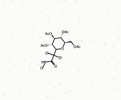 CC(=O)OC[C@H]1OC(C(Cl)(Cl)C(=O)NCl)[C@H](OC(C)=O)[C@@H](OC(C)=O)[C@@H]1OC(C)=O